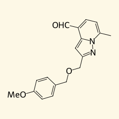 COc1ccc(COCc2cc3c(C=O)ccc(C)n3n2)cc1